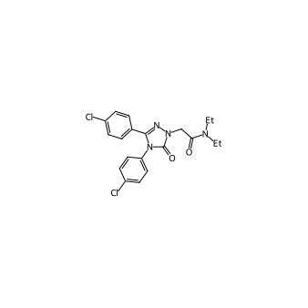 CCN(CC)C(=O)Cn1nc(-c2ccc(Cl)cc2)n(-c2ccc(Cl)cc2)c1=O